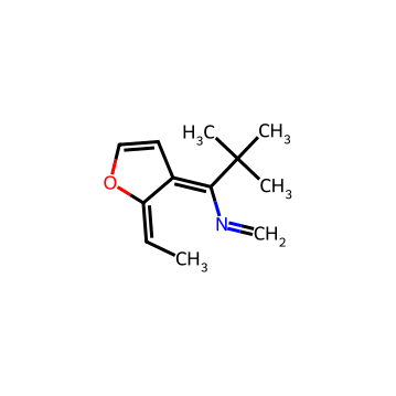 C=N/C(=c1/cco/c1=C/C)C(C)(C)C